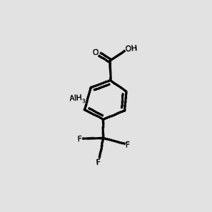 O=C(O)c1ccc(C(F)(F)F)cc1.[AlH3]